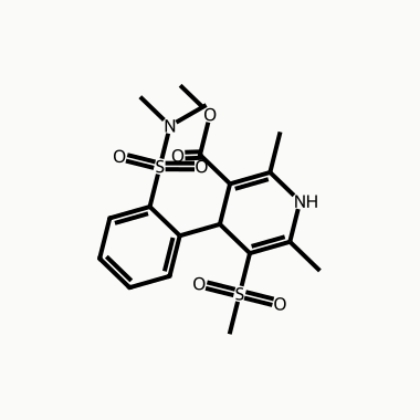 COC(=O)C1=C(C)NC(C)=C(S(C)(=O)=O)C1c1ccccc1S(=O)(=O)N(C)C